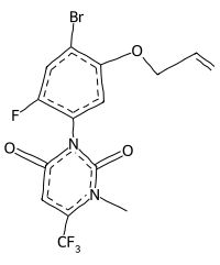 C=CCOc1cc(-n2c(=O)cc(C(F)(F)F)n(C)c2=O)c(F)cc1Br